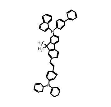 CC1(C)c2cc(/C=C/c3ccc(N(C4=CCCC=C4)C4C=CC=CC4)cc3)ccc2-c2ccc(N(c3ccc(-c4ccccc4)cc3)c3cccc4ccccc34)cc21